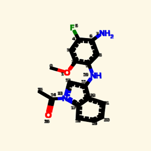 COc1cc(F)c(N)cc1Nc1cn(C(C)=O)c2ccccc12